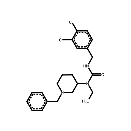 CCN(C(=O)NCc1ccc(Cl)c(Cl)c1)C1CCCN(Cc2ccccc2)C1